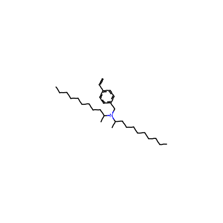 C=Cc1ccc(CN(C(C)CCCCCCCCC)C(C)CCCCCCCCC)cc1